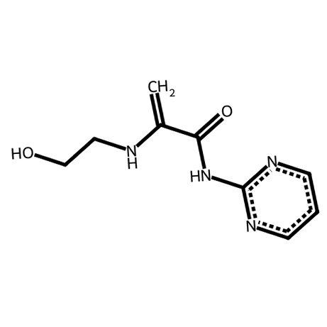 C=C(NCCO)C(=O)Nc1ncccn1